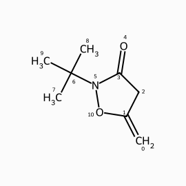 C=C1CC(=O)N(C(C)(C)C)O1